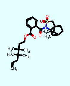 C=CCC(C)(C)C(C)(C)CCOC(=O)c1ccccc1C(=O)N1C2CC3CCC2(CS1(=O)=O)C3(C)C